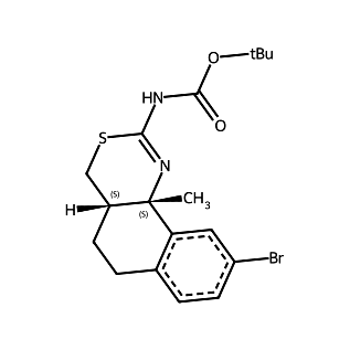 CC(C)(C)OC(=O)NC1=N[C@]2(C)c3cc(Br)ccc3CC[C@@H]2CS1